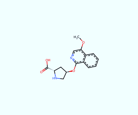 COc1cnc(O[C@H]2CN[C@H](C(=O)O)C2)c2ccccc12